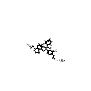 CCOC(=O)CCc1ccc(N(Cc2cccc3c2CCCN3CCO)S(=O)(=O)c2ccccc2[N+](=O)[O-])cc1F